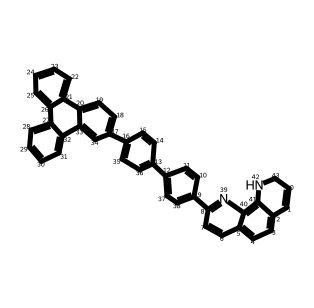 C1=Cc2ccc3ccc(-c4ccc(-c5ccc(-c6ccc7c8ccccc8c8ccccc8c7c6)cc5)cc4)nc3c2NC1